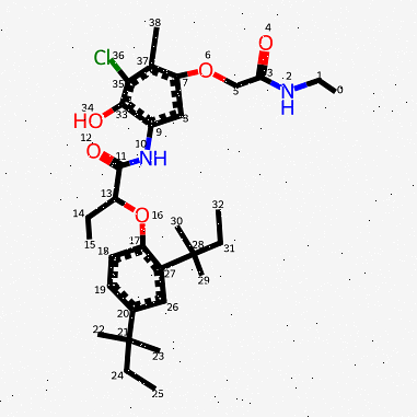 CCNC(=O)COc1cc(NC(=O)C(CC)Oc2ccc(C(C)(C)CC)cc2C(C)(C)CC)c(O)c(Cl)c1C